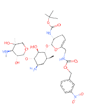 CN[C@@H]1[C@@H](O)[C@@H](O[C@@H]2[C@@H](O)[C@H](O[C@H]3OC(CNC(=O)OCc4cccc([N+](=O)[O-])c4)=CC[C@H]3NC(=O)OC(C)(C)C)[C@@H](C)C[C@H]2N)OC[C@]1(C)O